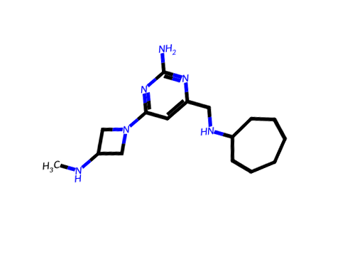 CNC1CN(c2cc(CNC3CCCCCC3)nc(N)n2)C1